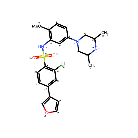 COc1ccc(N2CC(C)NC(C)C2)cc1NS(=O)(=O)c1ccc(-c2ccoc2)cc1Cl